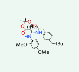 CCCCCCC(Cc1ccc(CC(C)(C)C)cc1)NC(Nc1ccc(OC)cc1OC)=C1C(=O)OC(C)(C)OC1=O